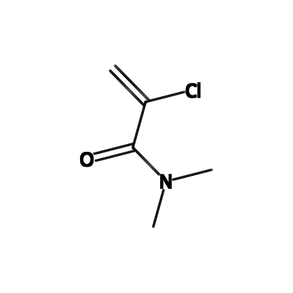 C=C(Cl)C(=O)N(C)C